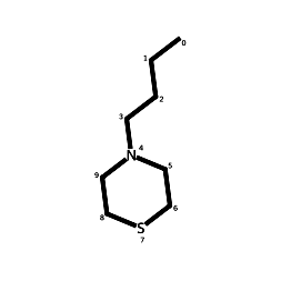 CCCCN1CCSCC1